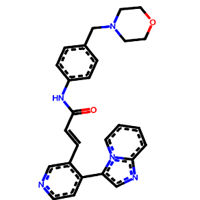 O=C(C=Cc1cnccc1-c1cnc2ccccn12)Nc1ccc(CN2CCOCC2)cc1